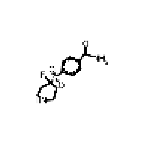 NC(=O)c1ccc(S(=O)(=O)C2(F)CCNCC2)cc1